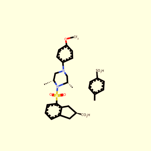 C[C@@H]1CN(c2ccc(OC(F)(F)F)cc2)C[C@H](C)N1S(=O)(=O)c1cccc2c1C[C@@H](C(=O)O)C2.Cc1ccc(S(=O)(=O)O)cc1